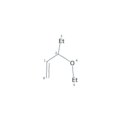 C=CC(CC)OCC